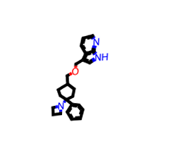 c1ccc(C2(N3CCC3)CCC(COCc3c[nH]c4ncccc34)CC2)cc1